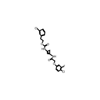 O=C(COc1ccc(Cl)c(F)c1)NC12CC(NC(=O)OCCc3cccc(Cl)c3)(C1)C2